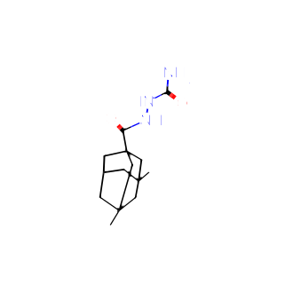 CC12CC3CC(C)(C1)CC(C(=O)NNC(N)=O)(C3)C2